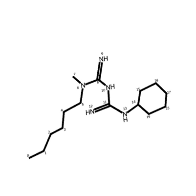 CCCCCCN(C)C(=N)NC(=N)NC1CCCCC1